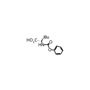 CC[C@H](C)[C@H](NC(=O)Oc1ccccc1)C(=O)O